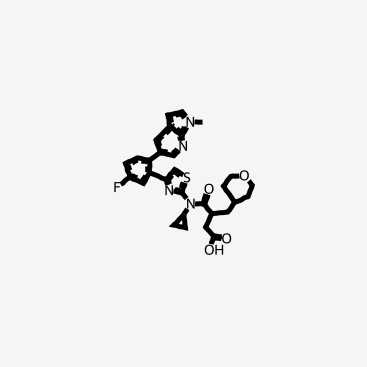 Cn1ccc2cc(-c3ccc(F)cc3-c3csc(N(C(=O)C(CC(=O)O)CC4CCOCC4)C4CC4)n3)cnc21